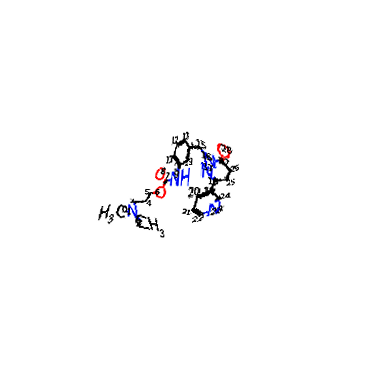 CN(C)CCCOC(=O)Nc1cccc(Cn2nc(-c3cccnc3)ccc2=O)c1